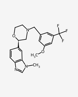 COc1cc(CN2CCO[C@H](c3ccc4ncn(C)c4c3)C2)cc(C(F)(F)F)c1